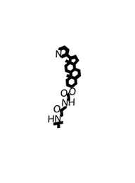 CC(C)(C)NCC(=O)CNCC(=O)OC1CCC2(C)C(=CCC3C2CCC2(C)C(c4cccnc4)=CCC32)C1